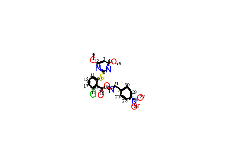 COc1cc(OC)nc(Sc2cccc(Cl)c2C(=O)O/N=C/c2ccc([N+](=O)[O-])cc2)n1